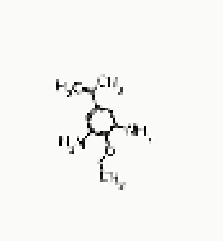 C=C(C)c1cc(N)c(OCC)c(N)c1